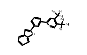 [2H]C([2H])([2H])c1cnc(-c2cccc(-c3cc4ccccc4o3)c2)cc1C([2H])([2H])[2H]